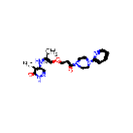 Cc1c(N[C@@H](C)COCCC(=O)N2CCN(c3ccccn3)CC2)cn[nH]c1=O